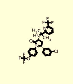 CC(C)(N[C@@H]1C[C@H](c2cccc(Cl)c2)N(c2ccc(OC(F)(F)F)cc2)C1=O)c1cccc(C(F)(F)F)n1